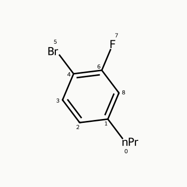 CCCc1ccc(Br)c(F)c1